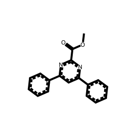 COC(=O)c1nc(-c2ccccc2)cc(-c2ccccc2)n1